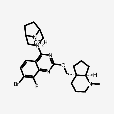 CN1CCC[C@@]2(COc3nc(N4CC5CCC(C4)N5C(=O)O)c4ccc(Br)c(F)c4n3)CCC[C@@H]12